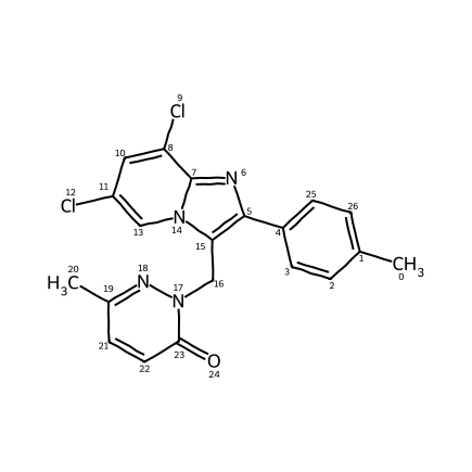 Cc1ccc(-c2nc3c(Cl)cc(Cl)cn3c2Cn2nc(C)ccc2=O)cc1